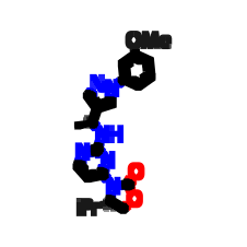 COc1cccc(-n2cc([C@H](C)Nc3nccc(N4C(=O)OC[C@@H]4C(C)C)n3)cn2)c1